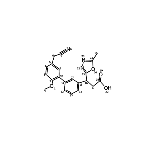 COc1ccc(CC#N)cc1-c1cccc(C(CC(=O)O)c2nnc(C)o2)c1